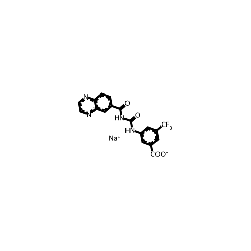 O=C(NC(=O)c1ccc2nccnc2c1)Nc1cc(C(=O)[O-])cc(C(F)(F)F)c1.[Na+]